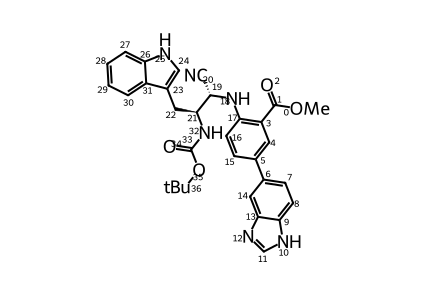 COC(=O)c1cc(-c2ccc3[nH]cnc3c2)ccc1N[C@@H](C#N)[C@H](Cc1c[nH]c2ccccc12)NC(=O)OC(C)(C)C